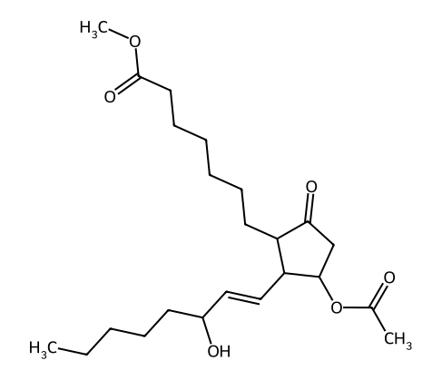 CCCCCC(O)C=CC1C(OC(C)=O)CC(=O)C1CCCCCCC(=O)OC